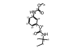 CCC(C)(C)NC(=O)Oc1cccc(NC(=O)OC)c1